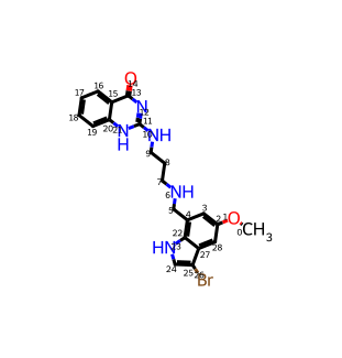 COc1cc(CNCCCNc2nc(=O)c3ccccc3[nH]2)c2[nH]cc(Br)c2c1